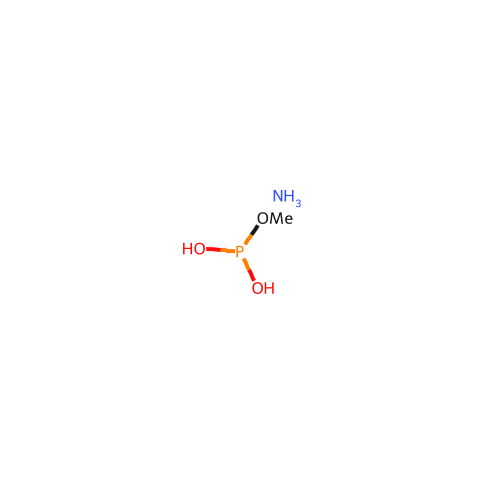 COP(O)O.N